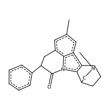 Cc1cc2c3c(c1)c1c(n3C(=O)C(c3ccccc3)C2)C2CCC1N(C)C2